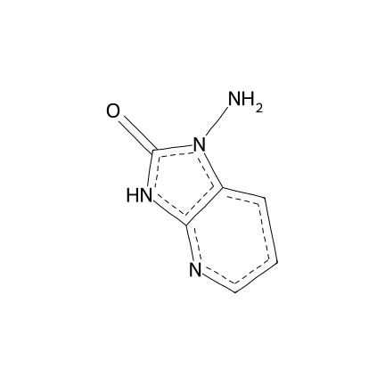 Nn1c(=O)[nH]c2ncccc21